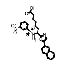 O=C(O)CCCCC[C@H](NS(=O)(=O)c1cccc([N+](=O)[O-])c1)c1ncc(-c2ccc3ccccc3c2)[nH]1